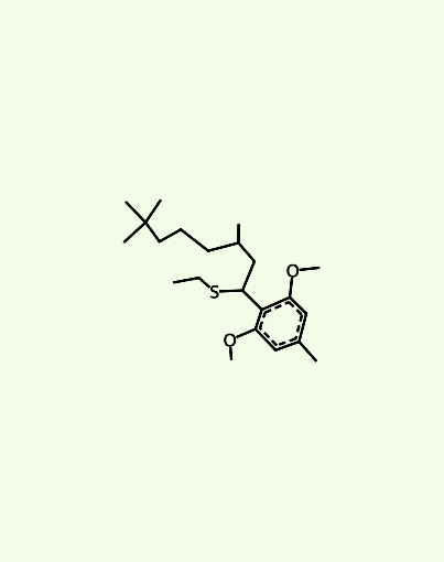 CCSC(CC(C)CCCC(C)(C)C)c1c(OC)cc(C)cc1OC